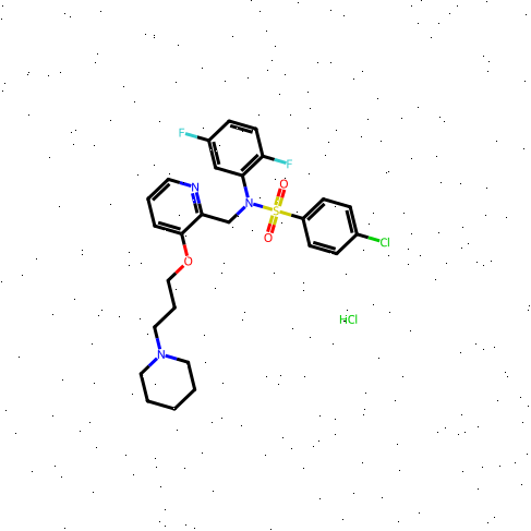 Cl.O=S(=O)(c1ccc(Cl)cc1)N(Cc1ncccc1OCCCN1CCCCC1)c1cc(F)ccc1F